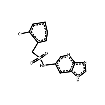 O=S(=O)(Cc1ccccc1Cl)Nc1cnc2nc[nH]c2c1